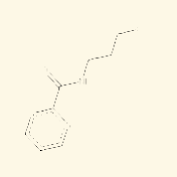 CCCCNC(=O)c1ncccn1